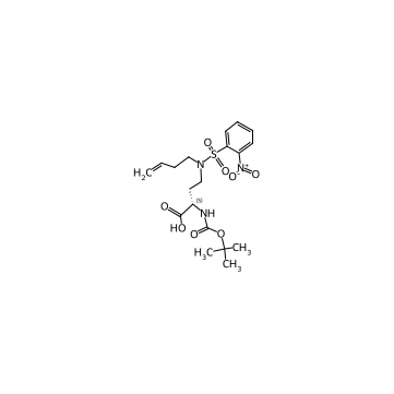 C=CCCN(CC[C@H](NC(=O)OC(C)(C)C)C(=O)O)S(=O)(=O)c1ccccc1[N+](=O)[O-]